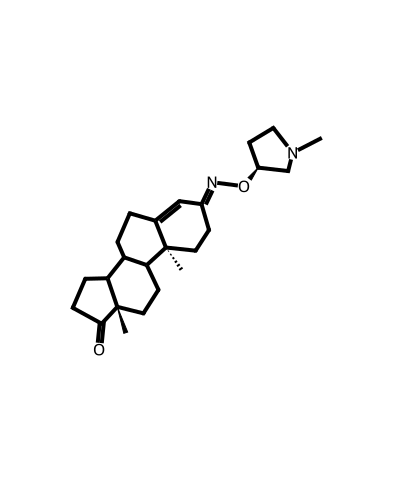 CN1CC[C@H](ON=C2C=C3CCC4C5CCC(=O)[C@@]5(C)CCC4[C@]3(C)CC2)C1